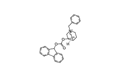 O=C(OC1c2ccccc2-c2ccccc21)O[C@H]1C[N+]2(Cc3ccccc3)CCC1CC2